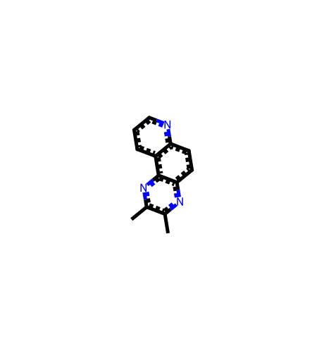 Cc1nc2ccc3ncccc3c2nc1C